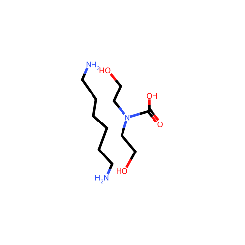 NCCCCCCN.O=C(O)N(CCO)CCO